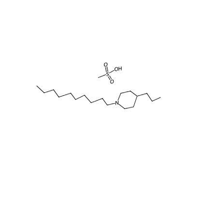 CCCCCCCCCCN1CCC(CCC)CC1.CS(=O)(=O)O